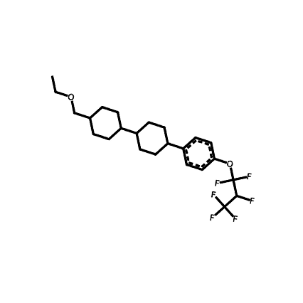 CCOCC1CCC(C2CCC(c3ccc(OC(F)(F)C(F)C(F)(F)F)cc3)CC2)CC1